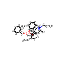 CO[C@]12CC[C@@]3(C[C@@H]1COCc1ccccc1)[C@H]1Cc4ccc(C)c5c4[C@@]3(CCN1CC(=O)O)[C@H]2O5